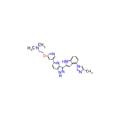 Cc1cn(-c2cccc3[nH]c(-c4n[nH]c5ccc(-c6cncc(OCCN(C)C)c6)nc45)cc23)cn1